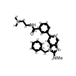 CNc1nc2cnc(-c3cccc(C(=O)NCCN(C)C)c3)cc2n1Cc1ccccc1